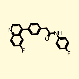 O=C(Cc1ccc(-c2ccnc3ccc(F)cc23)cc1)Nc1ccc(F)cc1